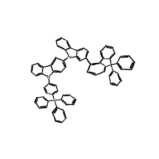 c1ccc(C2(c3ccccc3)c3ccccc3-c3c(-c4ccc5c6ccccc6n(-c6ccc7c(c6)c6ccccc6n7-c6ccc([Si](c7ccccc7)(c7ccccc7)c7ccccc7)cc6)c5c4)cccc32)cc1